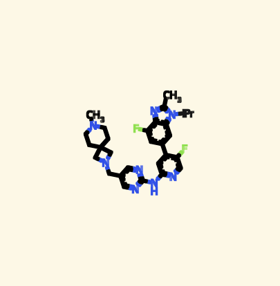 Cc1nc2c(F)cc(-c3cc(Nc4ncc(CN5CC6(CCN(C)CC6)C5)cn4)ncc3F)cc2n1C(C)C